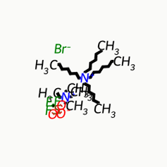 CCCCCCC[N+](CCCCCCC)(CCCCCCC)CCCCCCC.CC[N+](CC)(CC)CC.O=S(=O)([O-])C(F)(F)F.[Br-]